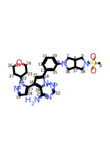 CS(=O)(=O)N1CC2CN(c3cccc(-c4cc(-c5ccnn5C5CCOCC5)c5c(N)ncnn45)c3)CC2C1